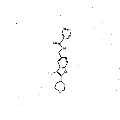 Cc1c(C2CCOCC2)[nH]c2ccc(CNC(=O)c3ccnnc3)cc12